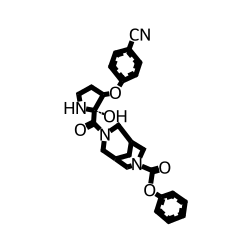 N#Cc1ccc(OC2CCN[C@]2(O)C(=O)N2CC3CC(CN(C(=O)Oc4ccccc4)C3)C2)cc1